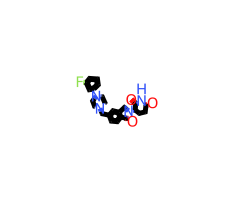 O=C1CCC(N2Cc3cc(CN4CCN(c5cccc(F)c5)CC4)ccc3C2=O)C(=O)N1